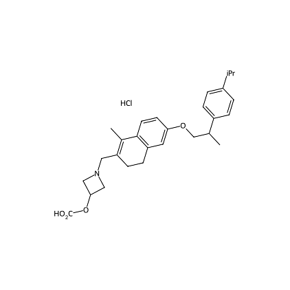 CC1=C(CN2CC(OC(=O)O)C2)CCc2cc(OCC(C)c3ccc(C(C)C)cc3)ccc21.Cl